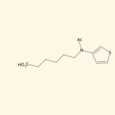 CC(=O)N(CCCCCC(=O)O)c1ccsc1